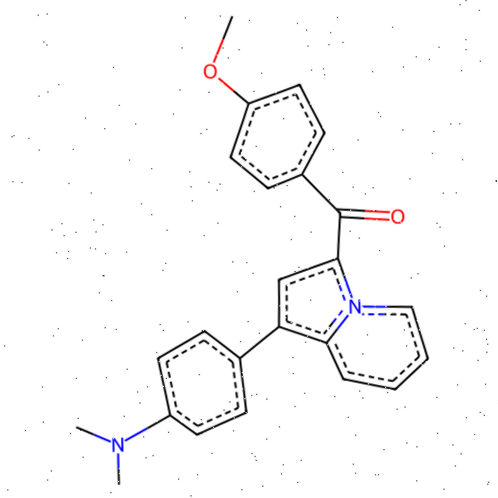 COc1ccc(C(=O)c2cc(-c3ccc(N(C)C)cc3)c3ccccn23)cc1